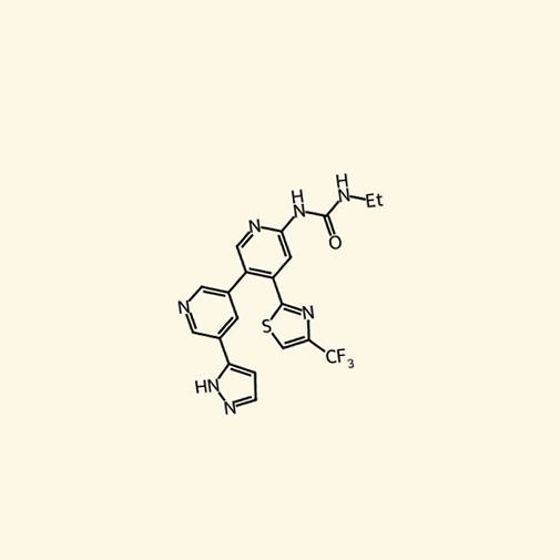 CCNC(=O)Nc1cc(-c2nc(C(F)(F)F)cs2)c(-c2cncc(-c3ccn[nH]3)c2)cn1